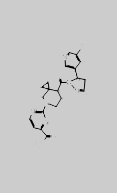 NC(=O)c1ccnc(N2CCC(C(=O)N3N=CCC3c3cncc(F)c3)C3(CC3)C2)n1